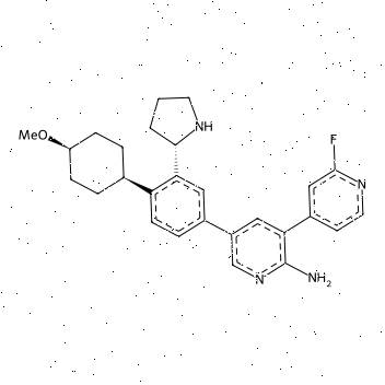 CO[C@H]1CC[C@@H](c2ccc(-c3cnc(N)c(-c4ccnc(F)c4)c3)cc2[C@@H]2CCCN2)CC1